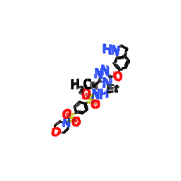 CCn1c(Oc2ccc3c(c2)NCC3)nnc1[C@@H](C)NS(=O)(=O)c1ccc(S(=O)(=O)N2CCOCC2)cc1